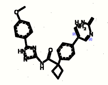 C=C(N)/N=C\C(=C/N)c1ccc(C2(C(=O)Nc3n[nH]c(-c4ccc(OC)cc4)n3)CCC2)cc1